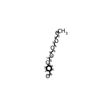 COCCOCCOCCOCCOc1ccc(C=O)cc1